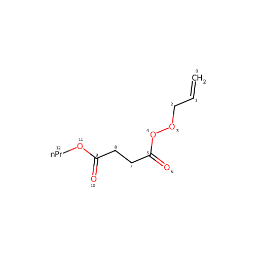 C=CCOOC(=O)CCC(=O)OCCC